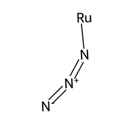 [N-]=[N+]=[N][Ru]